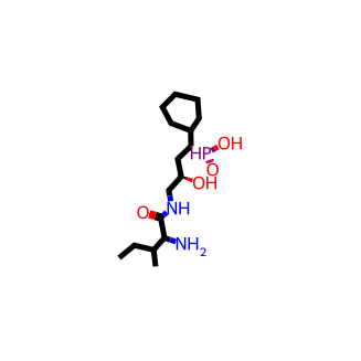 CCC(C)C(N)C(=O)NC[C@H](O)CC(C1CCCCC1)[PH](=O)O